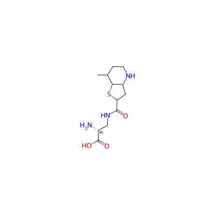 CC1CCNC2CC(C(=O)NC[C@@H](N)C(=O)O)SC12